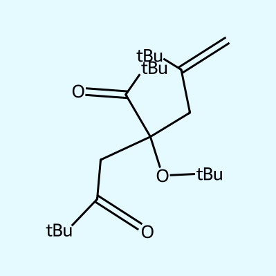 C=C(CC(CC(=O)C(C)(C)C)(OC(C)(C)C)C(=O)C(C)(C)C)C(C)(C)C